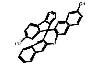 Oc1ccc2c(c1)C1(c3cc4ccccc4cc3Oc3cc4ccc(O)cc4cc31)c1ccccc1-2